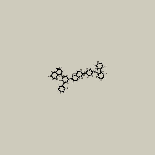 c1ccc(-c2cc(-c3ccc4cc(-c5ccc(-n6c7ccccc7c7ccccc76)cc5)ccc4c3)cc(-c3ncnc4ccccc34)c2)cc1